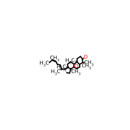 CCC(C)=CCC[C@@H](C)[C@H]1CC[C@@]2(C)C34CCC5C(C)(C)C(=O)CC[C@]5(C)C3(CC[C@]12C)O4